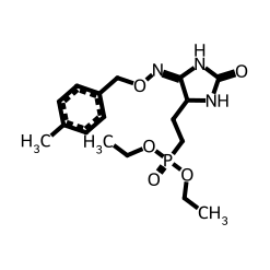 CCOP(=O)(CCC1NC(=O)NC1=NOCc1ccc(C)cc1)OCC